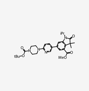 COC(=O)c1cc(-c2ccc(N3CCN(C(=O)OC(C)(C)C)CC3)nc2)cc2c1C(C)(C)C(=O)N2C(C)C